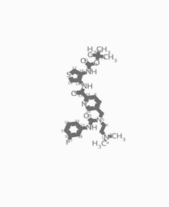 CN(C)CCN(Cc1ccc(C(=O)Nc2cscc2NC(=O)OC(C)(C)C)nc1)C(=O)Nc1cccc(F)c1